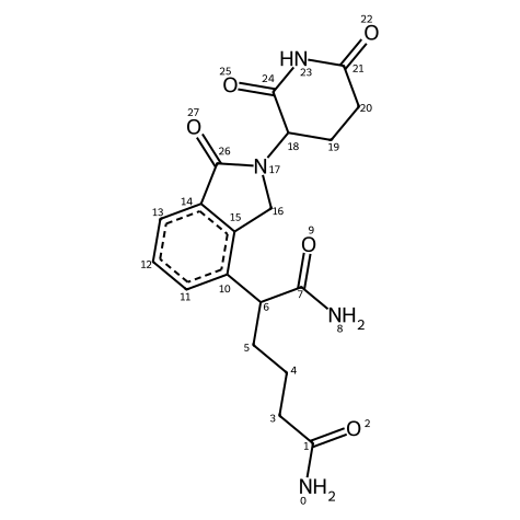 NC(=O)CCCC(C(N)=O)c1cccc2c1CN(C1CCC(=O)NC1=O)C2=O